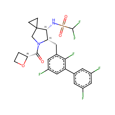 O=C([C@H]1CCO1)N1CC2(CC2)[C@H](NS(=O)(=O)C(F)F)[C@@H]1Cc1cc(F)cc(-c2cc(F)cc(F)c2)c1F